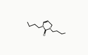 CCCCN1C=CCN(CCCC)C1=O